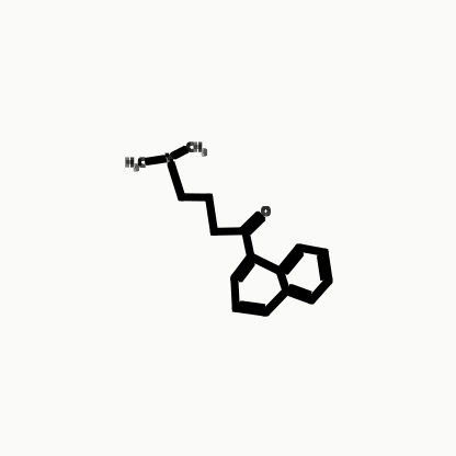 CN(C)CCCC(=O)c1cccc2ccccc12